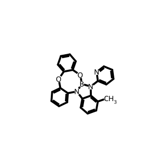 Cc1cccc2c1N(c1ccccn1)B1Oc3ccccc3Oc3ccccc3N12